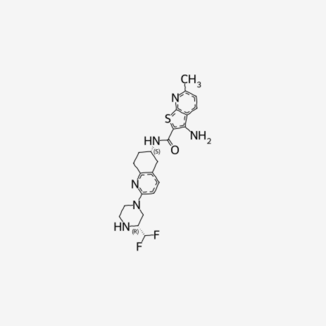 Cc1ccc2c(N)c(C(=O)N[C@H]3CCc4nc(N5CCN[C@@H](C(F)F)C5)ccc4C3)sc2n1